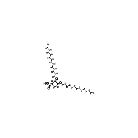 CCCCCCCCCCCCCCOc1ccc(C(=O)O)cc1OCCCCCCCCCCCCCC